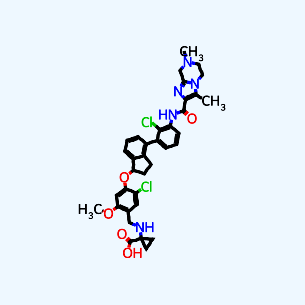 COc1cc(OC2CCc3c(-c4cccc(NC(=O)c5nc6n(c5C)CCN(C)C6)c4Cl)cccc32)c(Cl)cc1CNC1(C(=O)O)CC1